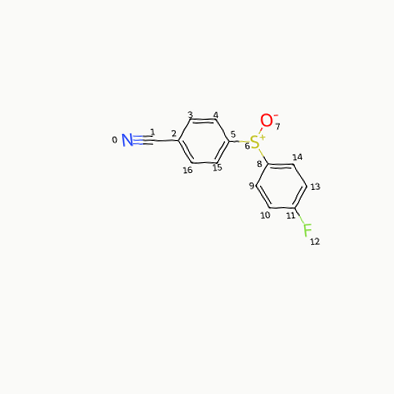 N#Cc1ccc([S+]([O-])c2ccc(F)cc2)cc1